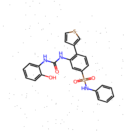 O=C(Nc1ccccc1O)Nc1cc(S(=O)(=O)Nc2ccccc2)ccc1-c1ccsc1